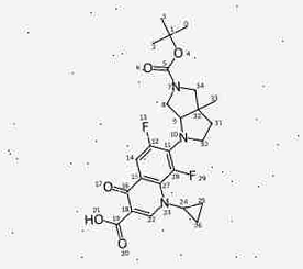 CC(C)(C)OC(=O)N1CC2N(c3c(F)cc4c(=O)c(C(=O)O)cn(C5CC5)c4c3F)CCC2(C)C1